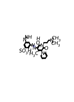 Cc1c(/N=N/c2cc(N=N)ccc2S(=O)(=O)O)c(O)n(CCCN(C)C)c(=O)c1-[n+]1ccccc1